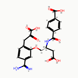 N=C(N)c1ccc(CC(=O)C(=O)O)c(OC[C@@H](CC(=O)O)NC(=O)c2ccc(C(=O)O)cc2)c1